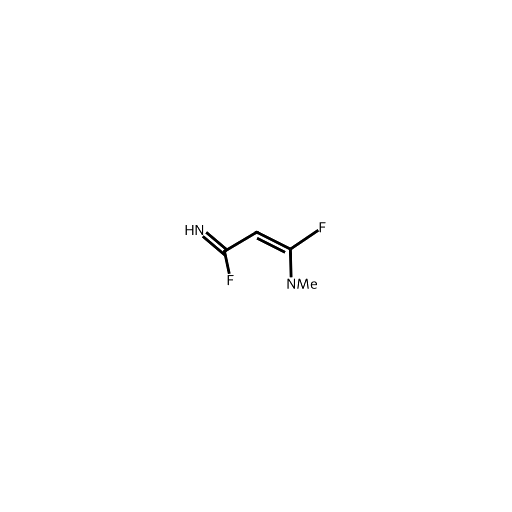 CN/C(F)=C\C(=N)F